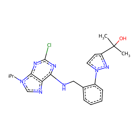 CC(C)n1cnc2c(NCc3ccccc3-n3ccc(C(C)(C)O)n3)nc(Cl)nc21